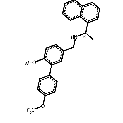 COc1ccc(CN[C@H](C)c2cccc3ccccc23)cc1-c1ccc(OC(F)(F)F)cc1